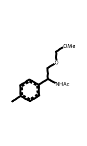 COCOCC(NC(C)=O)c1ccc(C)cc1